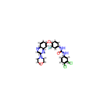 O=C(Nc1ccc(Oc2ccc3ncc(N4CCOCC4)nc3c2)c(F)c1)Nc1ccc(Cl)c(Cl)c1